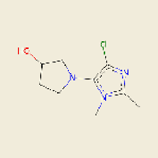 Cc1nc(Cl)c(N2CCC(O)C2)n1C